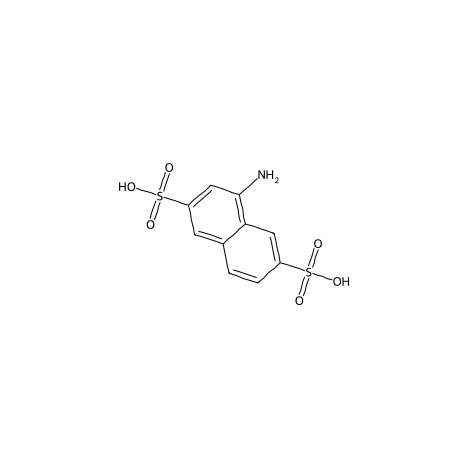 Nc1cc(S(=O)(=O)O)cc2ccc(S(=O)(=O)O)cc12